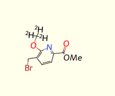 [2H]C([2H])([2H])Oc1nc(C(=O)OC)ccc1CBr